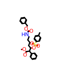 COC(=O)C(c1ccccc1)C(CCCCNC(=O)OCc1ccccc1)OS(=O)(=O)c1ccc(C)cc1